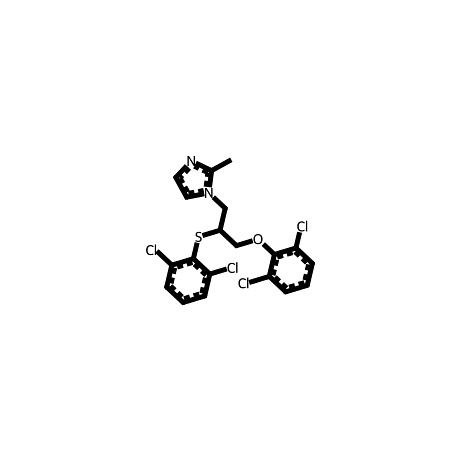 Cc1nccn1CC(COc1c(Cl)cccc1Cl)Sc1c(Cl)cccc1Cl